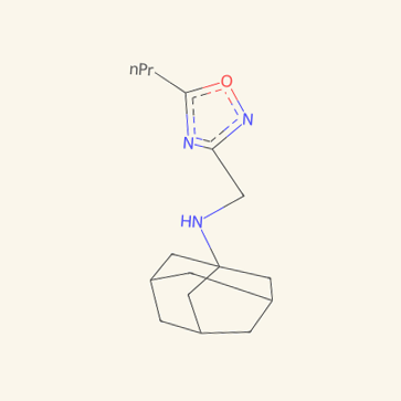 CCCc1nc(CNC23CC4CC(CC(C4)C2)C3)no1